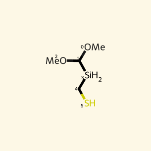 COC(OC)[SiH2]CS